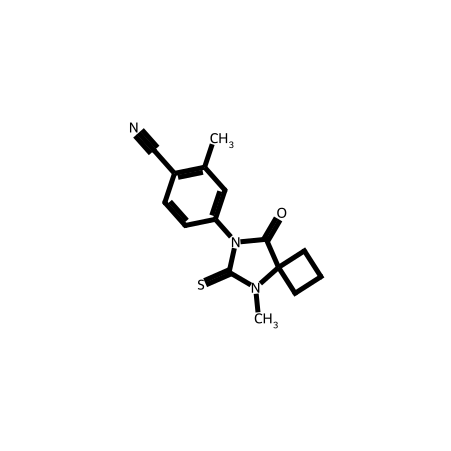 Cc1cc(N2C(=O)C3(CCC3)N(C)C2=S)ccc1C#N